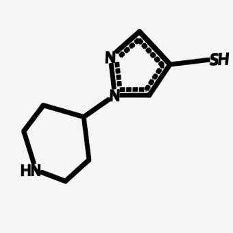 Sc1cnn(C2CCNCC2)c1